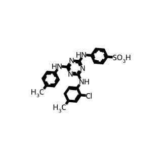 Cc1ccc(Nc2nc(NC3=CCC(C)C=C3Cl)nc(Nc3ccc(S(=O)(=O)O)cc3)n2)cc1